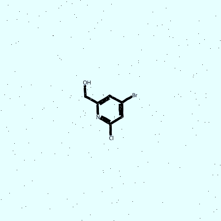 OCc1cc(Br)cc(Cl)n1